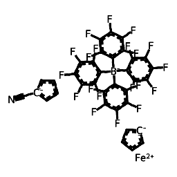 Fc1c(F)c(F)c([B-](c2c(F)c(F)c(F)c(F)c2F)(c2c(F)c(F)c(F)c(F)c2F)c2c(F)c(F)c(F)c(F)c2F)c(F)c1F.N#C[c-]1cccc1.[Fe+2].c1cc[cH-]c1